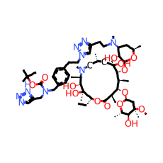 CC[C@H]1OC(=O)[C@H](C)[C@@H](O[C@H]2C[C@@](C)(OC)[C@@H](O)[C@H](C)O2)[C@H](C)[C@@H](O[C@@H]2O[C@H](C)C[C@H](N(C)CCc3cn(CCc4ccc(CN(Cc5cnn[nH]5)C(=O)OC(C)(C)C)cc4)nn3)[C@H]2O)[C@](C)(O)C[C@@H](C)CN(C)[C@H](C)[C@@H](O)[C@]1(C)O